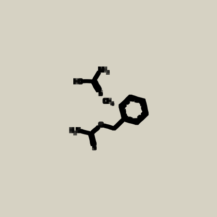 C.NC(=S)OCc1ccccc1.NC(O)=S